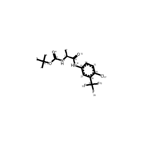 CC(NC(=O)OC(C)(C)C)C(=O)Nc1ccc(Cl)c(C(F)(F)F)c1